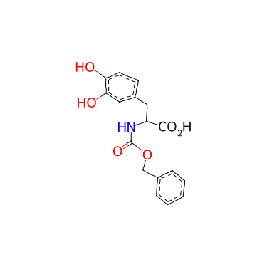 O=C(NC(Cc1ccc(O)c(O)c1)C(=O)O)OCc1ccccc1